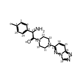 Cc1ccc(C(N)C(=O)N2CCN(c3ccc4nncn4n3)CC2)cc1